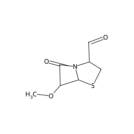 COC1C(=O)N2C(C=O)CSC12